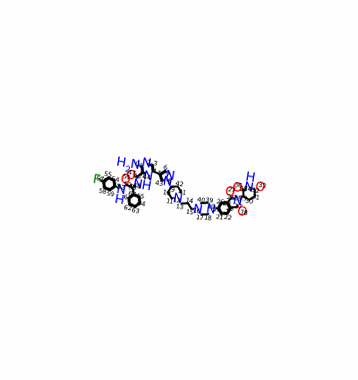 Nc1ncc(-c2cnn(C3CCN(CCCN4CCN(c5ccc6c(c5)C(=O)N(C5CCC(=O)NC5=O)C6=O)CC4)CC3)c2)nc1C(=O)N[C@@H](C(=O)Nc1ccc(F)cc1)c1ccccc1